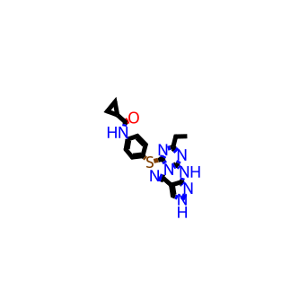 CCc1nc(Nc2n[nH]cc2C#N)nc(Sc2ccc(NC(=O)C3CC3)cc2)n1